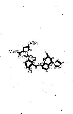 CCCOC1CC(C(=O)NC)N(S(=O)(=O)c2ccc(Cl)c(COc3cccc4c(-n5ccnc5)cc(C)nc34)c2Cl)C1